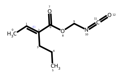 C/C=C(\CCC)C(=O)OCN=C=O